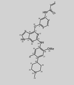 C=CC(=O)Nc1cccc(Oc2nc(Nc3cc(C)c(C4CCN(C)CC4)cc3OC)nc3[nH]ccc23)c1